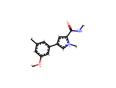 CNC(=O)c1cc(-c2cc(C)cc(OC)c2)cn1C